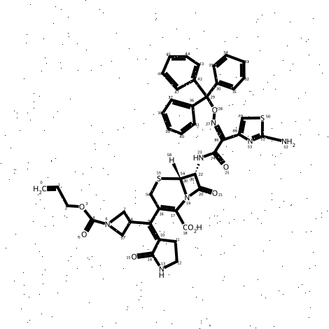 C=CCOC(=O)N1CC(C(=C2CCNC2=O)C2=C(C(=O)O)N3C(=O)[C@@H](NC(=O)C(=NOC(c4ccccc4)(c4ccccc4)c4ccccc4)c4csc(N)n4)[C@H]3SC2)C1